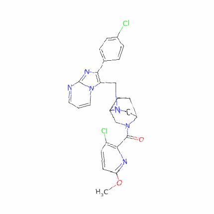 COc1ccc(Cl)c(C(=O)N2CC3CCC2CN3Cc2c(-c3ccc(Cl)cc3)nc3ncccn23)n1